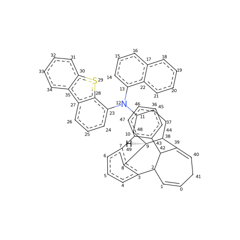 C1=CC2c3cccc4c3[C@H]3CC(N(c5cccc6ccccc56)c5cccc6c5sc5ccccc56)CCC3C(=CC1)C2c1ccccc1-4